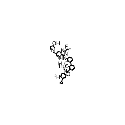 [2H]c1cc2nc(-c3cccc(-c4cccc(Nc5nc(C(F)F)nc6cc(CN7CCC(O)C7)cnc56)c4C)c3C)oc2cc1C1CC1